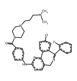 CN(C)CCCN1CCN(C(=O)c2ccc(Nc3ncc4c(n3)-c3ccc(Cl)cc3C(c3ccccc3F)=NC4)cc2)CC1